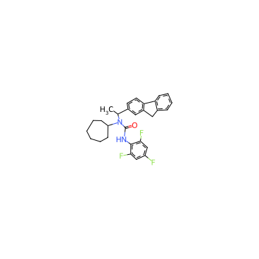 CC(c1ccc2c(c1)Cc1ccccc1-2)N(C(=O)Nc1c(F)cc(F)cc1F)C1CCCCCC1